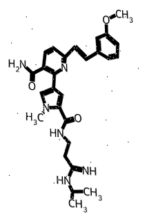 COc1cccc(C=Cc2ccc(C(N)=O)c(-c3cc(C(=O)NCCC(=N)NC(C)C)n(C)c3)n2)c1